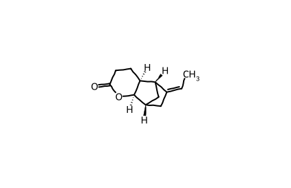 C/C=C1/C[C@H]2C[C@@H]1[C@@H]1CCC(=O)O[C@H]21